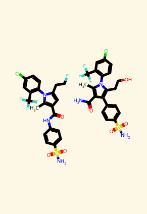 Cc1c(C(=O)Nc2ccc(S(N)(=O)=O)cc2)cc(CCF)n1-c1ccc(Cl)cc1C(F)(F)F.Cc1c(C(N)=O)c(-c2ccc(S(N)(=O)=O)cc2)c(CCO)n1-c1ccc(Cl)cc1C(F)(F)F